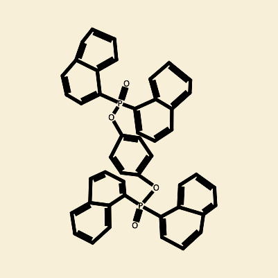 O=P(Oc1ccc(OP(=O)(c2cccc3ccccc23)c2cccc3ccccc23)cc1)(c1cccc2ccccc12)c1cccc2ccccc12